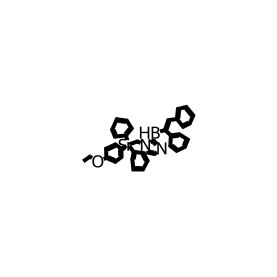 CCOc1ccc([Si](Cn2ccnc2BC(=Cc2ccccc2)c2ccccc2)(c2ccccc2)c2ccccc2)cc1